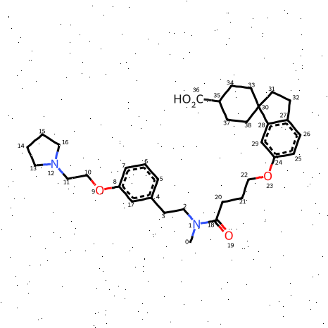 CN(CCc1cccc(OCCN2CCCC2)c1)C(=O)CCCOc1ccc2c(c1)C1(CC2)CCC(C(=O)O)CC1